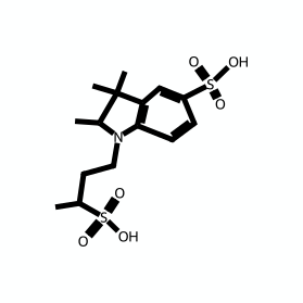 CC1N(CCC(C)S(=O)(=O)O)c2ccc(S(=O)(=O)O)cc2C1(C)C